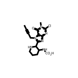 CC#CCn1c(C2NCCCC2NC(=O)O)nc2nc(Cl)n(C)c(=O)c21